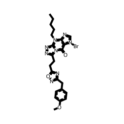 CCCCCn1c2ncn(Br)c2c(=O)n2c(CCc3nc(Cc4ccc(OC)cc4)no3)nnc12